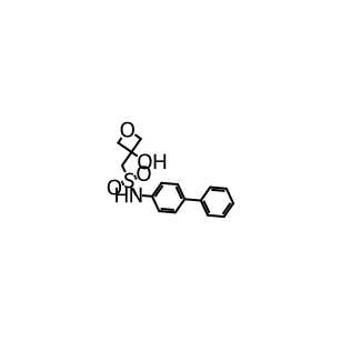 O=S(=O)(CC1(O)COC1)Nc1ccc(-c2ccccc2)cc1